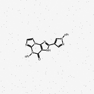 CCCn1cc(-c2nc3c([nH]2)c(=O)n(CCC)c2nccn32)cn1